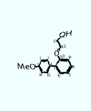 COc1ccc(-c2cc[c]cc2OCCO)cc1